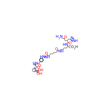 C[C@@H](NC(=O)c1ccc(NNC(=O)CCCCCC(=O)NCCCCC(NC(=O)C(CC(=O)CN)Cc2c[nH]cn2)C(=O)O)cc1)C(=O)N1CCC[C@H]1B(O)O